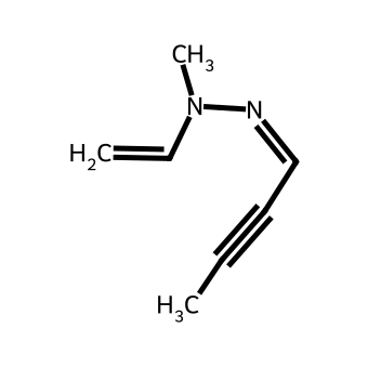 C=CN(C)/N=C\C#CC